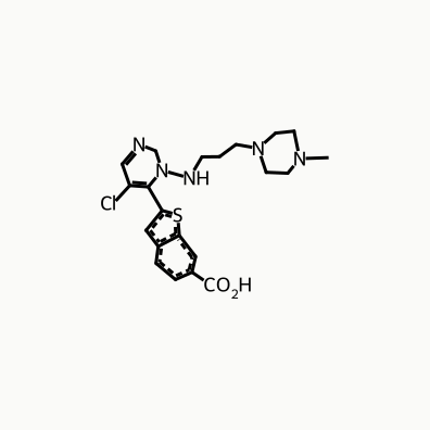 CN1CCN(CCCNN2CN=CC(Cl)=C2c2cc3ccc(C(=O)O)cc3s2)CC1